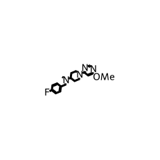 COc1cc(N2CCC(N(C)Cc3ccc(F)cc3)CC2)ncn1